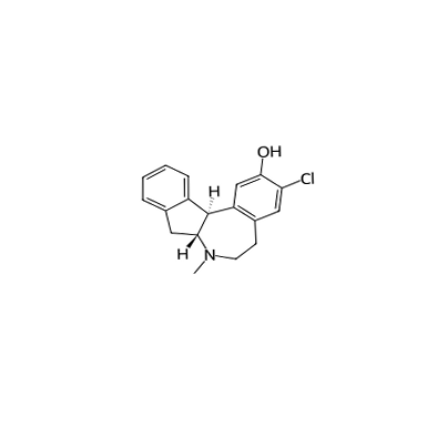 CN1CCc2cc(Cl)c(O)cc2[C@@H]2c3ccccc3C[C@H]21